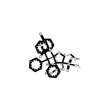 COO[C@@]1(OC)[C@@](n2ccc(=O)[nH]c2=O)(C(c2ccccc2)(c2ccccc2)c2ccccc2)O[C@H](CO)[C@]1(O)S(C)(=O)=O